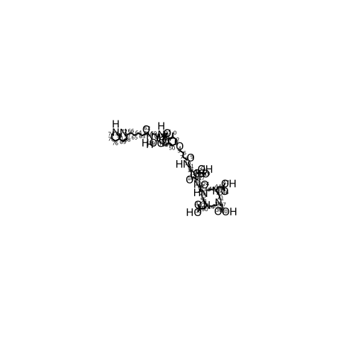 Cc1cc(OCCCC(=O)NCCNC(=O)[C@H](CS(=O)(=O)O)NC(=O)CN2CCN(CC(=O)O)CCN(CC(=O)O)CCN(CC(=O)O)CC2)cc(C)c1S(=O)(=O)N[C@H](CNC(=O)CCCCc1ccc2c(n1)NCCC2)C(=O)O